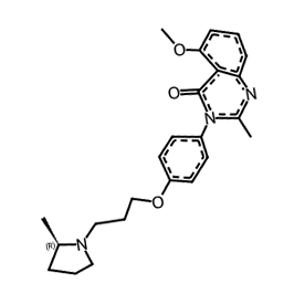 COc1cccc2nc(C)n(-c3ccc(OCCCN4CCC[C@H]4C)cc3)c(=O)c12